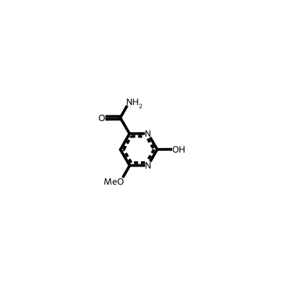 COc1cc(C(N)=O)nc(O)n1